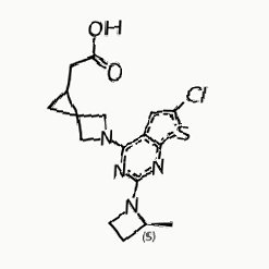 C[C@H]1CCN1c1nc(N2CC3(CC3CC(=O)O)C2)c2cc(Cl)sc2n1